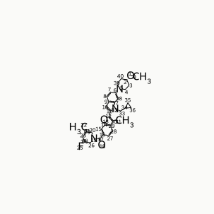 COC1CCN(c2ccc3cc(-c4oc5cc(C(=O)N6C[C@H](C)C[C@@H](F)C6)ccc5c4C)n(CC4CC4)c3c2)CC1